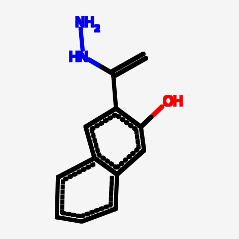 C=C(NN)c1cc2ccccc2cc1O